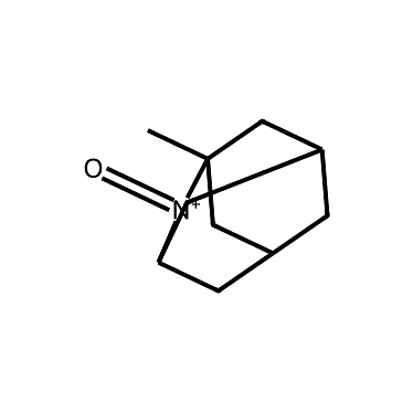 CC12CC3CC(CC(C3)[N+]1=O)C2